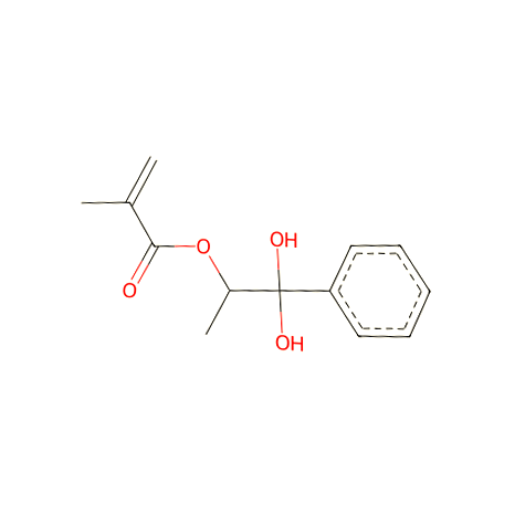 C=C(C)C(=O)OC(C)C(O)(O)c1ccccc1